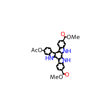 COC(=O)c1ccc2c(c1)[nH]c1c3[nH]c4cc(C(=O)OC)ccc4c3c3c4ccc(OC(C)=O)cc4[nH]c3c21